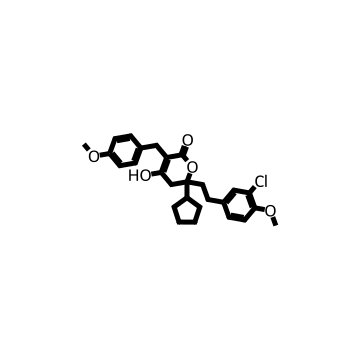 COc1ccc(CC2=C(O)CC(CCc3ccc(OC)c(Cl)c3)(C3CCCC3)OC2=O)cc1